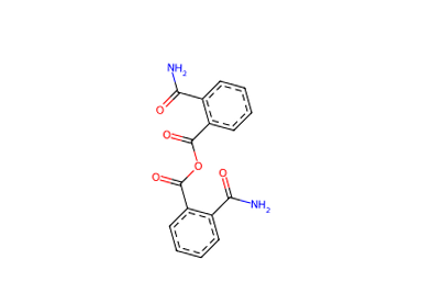 NC(=O)c1ccccc1C(=O)OC(=O)c1ccccc1C(N)=O